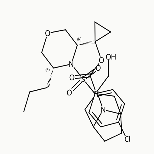 CCC[C@@H]1COC[C@H](C2(OC(=O)N3CC4CCC(C3)N4CCO)CC2)N1S(=O)(=O)c1ccc(Cl)cc1